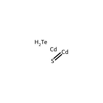 [Cd].[S]=[Cd].[TeH2]